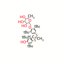 CC1OC(COc2c(C(C)(C)C)cc(SC(C)(C)Sc3cc(C(C)(C)C)c(O)c(C(C)(C)C)c3)cc2C(C)(C)C)C(O)C(O)C1O